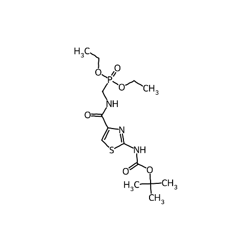 CCOP(=O)(CNC(=O)c1csc(NC(=O)OC(C)(C)C)n1)OCC